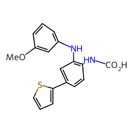 COc1cccc(Nc2cc(-c3cccs3)ccc2NC(=O)O)c1